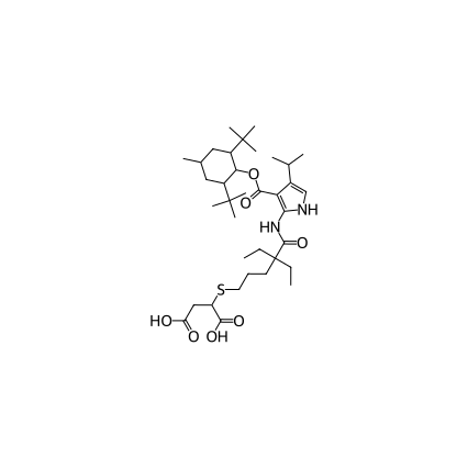 CCC(CC)(CCCSC(CC(=O)O)C(=O)O)C(=O)Nc1[nH]cc(C(C)C)c1C(=O)OC1C(C(C)(C)C)CC(C)CC1C(C)(C)C